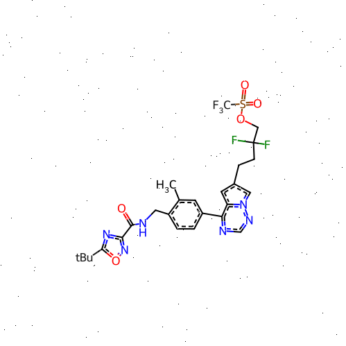 Cc1cc(-c2ncnn3cc(CCC(F)(F)COS(=O)(=O)C(F)(F)F)cc23)ccc1CNC(=O)c1noc(C(C)(C)C)n1